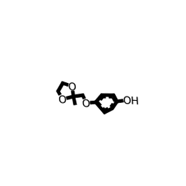 CC1(COc2ccc(O)cc2)OCCO1